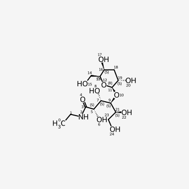 CCNC(=O)[C@@H](O)[C@H](O)[C@@H](O[C@H]1O[C@@H](CO)[C@@H](O)C[C@@H]1O)[C@@H](O)CO